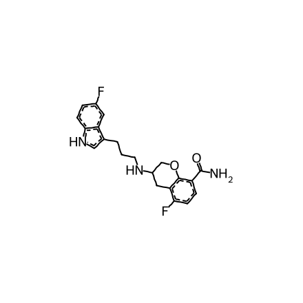 NC(=O)c1ccc(F)c2c1OCC(NCCCc1c[nH]c3ccc(F)cc13)C2